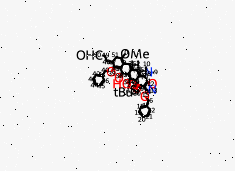 COC1=C2C[C@H]3C[C@H]4[C@H](N(C)C)c5onc(OCc6ccccc6)c5C(=O)[C@@]4(O[Si](C)(C)C(C)(C)C)C(O)=C3C(=O)C2=C(OCc2ccccc2)C(CCC=O)C1